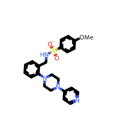 COc1ccc(S(=O)(=O)NCc2ccccc2N2CCN(c3ccncc3)CC2)cc1